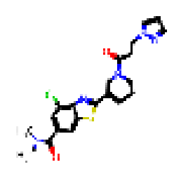 CN(C)C(=O)c1cc(Cl)c2nc(C3=CCCN(C(=O)CCn4cccn4)C3)sc2c1